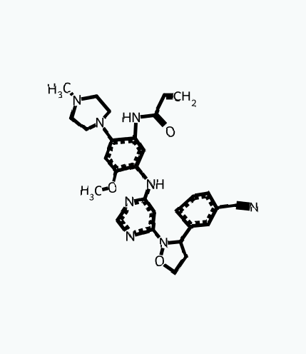 C=CC(=O)Nc1cc(Nc2cc(N3OCCC3c3cccc(C#N)c3)ncn2)c(OC)cc1N1CCN(C)CC1